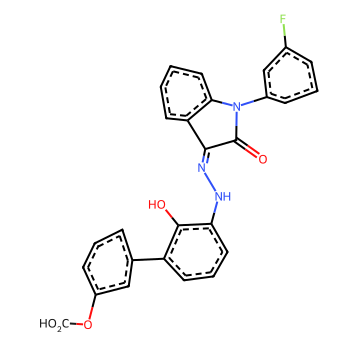 O=C(O)Oc1cccc(-c2cccc(NN=C3C(=O)N(c4cccc(F)c4)c4ccccc43)c2O)c1